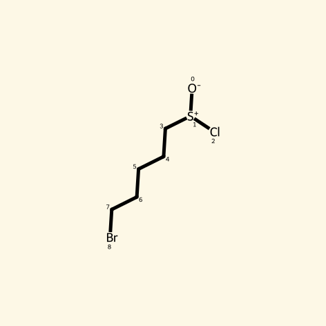 [O-][S+](Cl)CCCCCBr